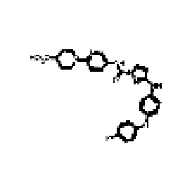 O=C(O)C1CCN(c2ccc(NC(=O)n3ccc(Nc4ccc(Oc5ccc(F)cc5)cc4)n3)cn2)CC1